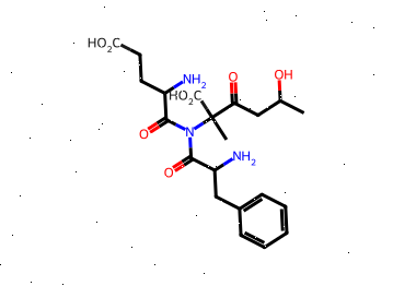 CC(O)CC(=O)C(C)(C(=O)O)N(C(=O)C(N)CCC(=O)O)C(=O)C(N)Cc1ccccc1